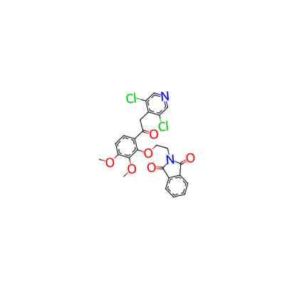 COc1ccc(C(=O)Cc2c(Cl)cncc2Cl)c(OCCN2C(=O)c3ccccc3C2=O)c1OC